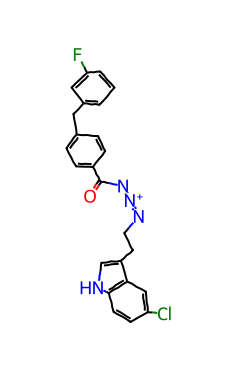 O=C(N=[N+]=NCCc1c[nH]c2ccc(Cl)cc12)c1ccc(Cc2cccc(F)c2)cc1